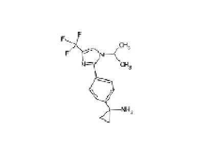 CC(C)n1cc(C(F)(F)F)nc1-c1ccc(C2(N)CC2)cc1